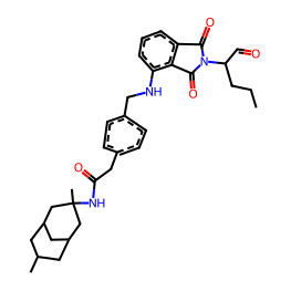 CCCC(C=O)N1C(=O)c2cccc(NCc3ccc(CC(=O)NC4(C)CC5CC(C)CC(C5)C4)cc3)c2C1=O